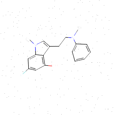 CCN(CCc1cn(CC)c2cc(F)cc(O)c12)c1ccccc1